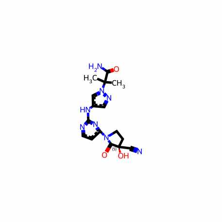 CC(C)(C(N)=O)n1cc(Nc2nccc(N3CC[C@](O)(C#N)C3=O)n2)cn1